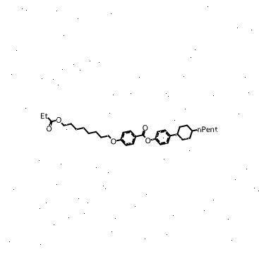 CCCCCC1CCC(c2ccc(OC(=O)c3ccc(OCCCCCCCCOC(=O)CC)cc3)cc2)CC1